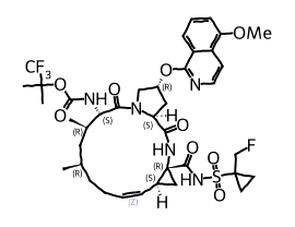 COc1cccc2c(O[C@@H]3C[C@H]4C(=O)N[C@]5(C(=O)NS(=O)(=O)C6(CF)CC6)C[C@H]5/C=C\CC[C@@H](C)C[C@@H](C)[C@H](NC(=O)OC(C)(C)C(F)(F)F)C(=O)N4C3)nccc12